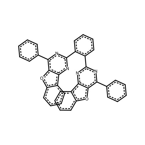 c1ccc(-c2nc(-c3ccccc3-c3nc(-c4ccccc4)c4oc5ccccc5c4n3)nc3c2oc2ccccc23)cc1